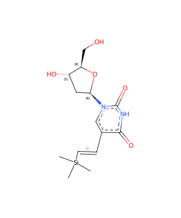 C[Si](C)(C)/C=C/c1cn([C@H]2C[C@H](O)[C@@H](CO)O2)c(=O)[nH]c1=O